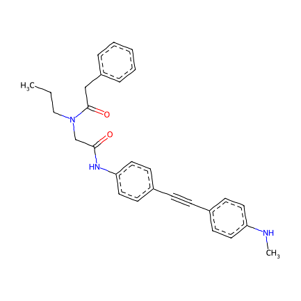 CCCN(CC(=O)Nc1ccc(C#Cc2ccc(NC)cc2)cc1)C(=O)Cc1ccccc1